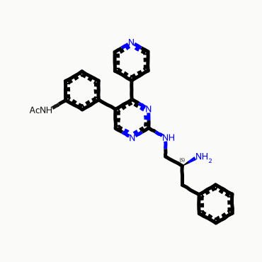 CC(=O)Nc1cccc(-c2cnc(NC[C@@H](N)Cc3ccccc3)nc2-c2ccncc2)c1